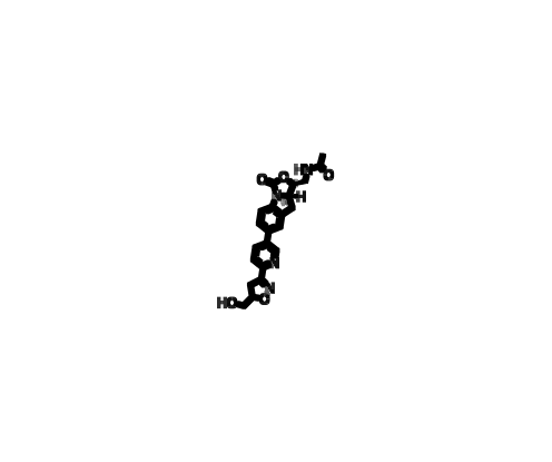 CC(=O)NC[C@@H]1OC(=O)N2c3ccc(-c4ccc(C5=NOC(CO)C5)nc4)cc3C[C@@H]12